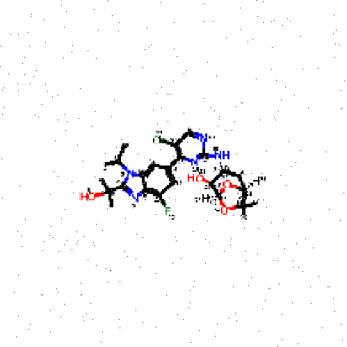 CC(C)n1c(C(C)(C)O)nc2c(F)cc(-c3nc(N[C@@H]4C[C@@H]5O[C@@H](OC5(C)C)[C@H]4O)ncc3Cl)cc21